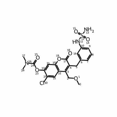 COCc1c(Cc2cccc(NS(N)(=O)=O)c2)c(=O)oc2cc(OC(=O)N(C)C)c(Cl)cc12